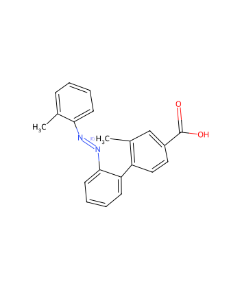 Cc1ccccc1/N=N/c1ccccc1-c1ccc(C(=O)O)cc1C